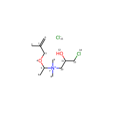 C=C(C)COC(C)[N+](C)(C)CC(O)CCl.[Cl-]